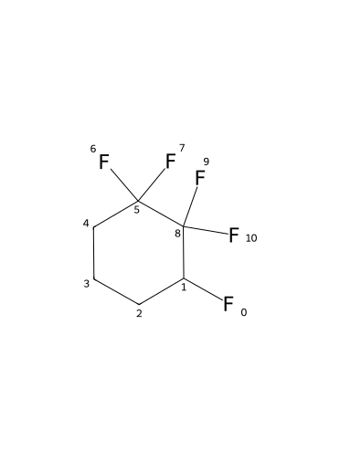 FC1CCCC(F)(F)C1(F)F